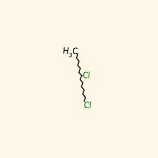 CCCCCCCC(Cl)CCCCCCCCl